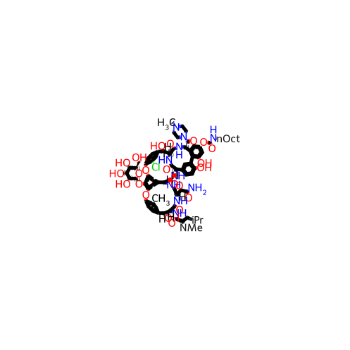 CCCCCCCCNC(=O)Oc1cc(O)c2c(c1)[C@@H](C(=O)N1CCN(C)CC1)NC(=O)[C@H]1NC(=O)[C@H](NC(=O)[C@@H]3NC(=O)[C@H](CC(N)=O)NC(=O)[C@H](NC(=O)[C@@H](CC(C)C)NC)[C@H](O)c4ccc(c(C)c4)Oc4cc3cc(c4O[C@@H]3O[C@H](CO)[C@@H](O)[C@H](O)[C@H]3O)Oc3ccc(cc3Cl)[C@H]1O)c1ccc(O)c-2c1